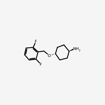 N[C@H]1CC[C@H](OCc2c(F)cccc2F)CC1